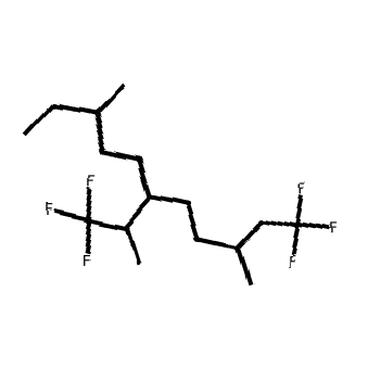 CCC(C)CCC(CCC(C)CC(F)(F)F)C(C)C(F)(F)F